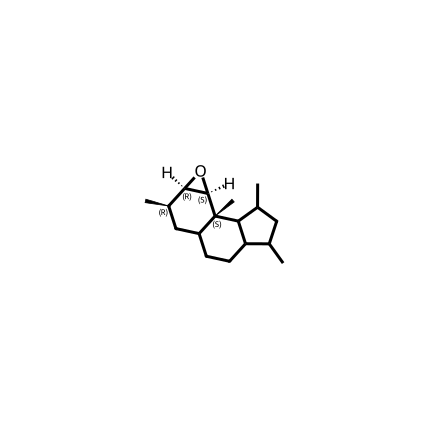 CC1CC(C)C2C1CCC1C[C@@H](C)[C@H]3O[C@H]3[C@@]12C